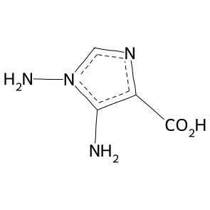 Nc1c(C(=O)O)ncn1N